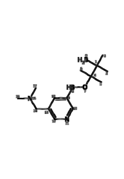 BC(C)(C)C(C)(C)OBc1cncc(CN(C)C)c1